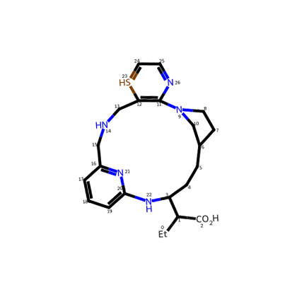 CCC(C(=O)O)C1CCC2CCN(C2)C2=C(CNCc3cccc(n3)N1)[SH]=CC=N2